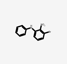 O=[N+]([O-])c1c(Br)cccc1Nc1ccccc1